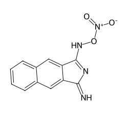 N=C1N=C(NO[N+](=O)[O-])c2cc3ccccc3cc21